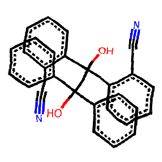 N#Cc1ccccc1C(O)(c1ccccc1C#N)C(O)(c1ccccc1)c1ccccc1